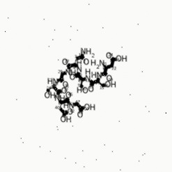 NC(=O)C[C@H](NC(=O)[C@H](CO)NC(=O)[C@H](CO)NC(=O)[C@@H](N)CC(=O)O)C(=O)NCC(=O)N[C@@H](CO)C(=O)N[C@@H](CC(=O)O)C(=O)NCC(=O)O